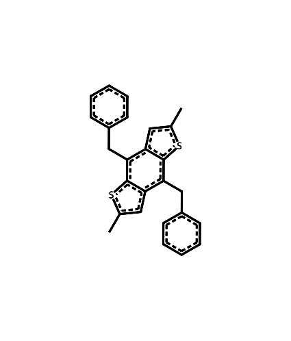 Cc1cc2c(Cc3ccccc3)c3sc(C)cc3c(Cc3ccccc3)c2s1